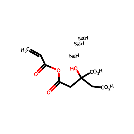 C=CC(=O)OC(=O)CC(O)(CC(=O)O)C(=O)O.[NaH].[NaH].[NaH]